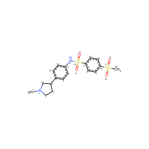 CCCN1CCC(c2ccc(NS(=O)(=O)c3ccc(S(C)(=O)=O)cc3)cc2)C1